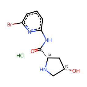 Cl.O=C(Nc1cccc(Br)n1)[C@@H]1C[C@H](O)CN1